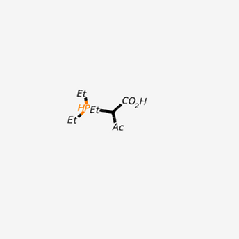 CCC(C(C)=O)C(=O)O.CCPCC